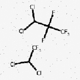 FC(F)(F)C(Cl)Cl.FC(F)(F)C(F)(F)C(Cl)Cl